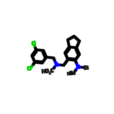 CCCCN(CC)c1cc2c(cc1CN(Cc1cc(Cl)cc(Cl)c1)C(=O)O)CCC2